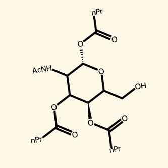 CCCC(=O)OC1C(NC(C)=O)[C@H](OC(=O)CCC)OC(CO)[C@H]1OC(=O)CCC